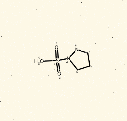 CS(=O)(=O)N1CCC[N]1